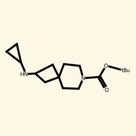 CC(C)(C)OC(=O)N1CCC2(CC1)CC(NC1CC1)C2